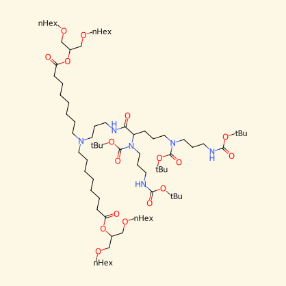 CCCCCCOCC(COCCCCCC)OC(=O)CCCCCCCN(CCCCCCCC(=O)OC(COCCCCCC)COCCCCCC)CCCNC(=O)C(CCCN(CCCNC(=O)OC(C)(C)C)C(=O)OC(C)(C)C)N(CCCNC(=O)OC(C)(C)C)C(=O)OC(C)(C)C